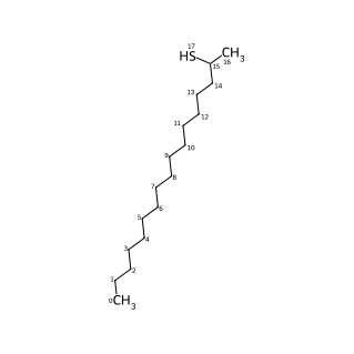 CCCCCCCCCCCCCCCC(C)S